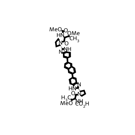 COC(=O)NC(C(=O)N1CCC[C@H]1c1nc2cc(-c3ccc4cc(-c5ccc6[nH]c([C@@H]7CCCN7C(=O)C(NC(=O)O)C(C)OC)nc6c5)ccc4c3)ccc2[nH]1)C(C)OC